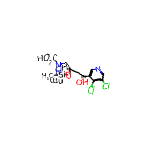 CC(C)(C)[Si](C)(C)O[C@@H](CNC(=O)O)C[C@@H](O)c1cncc(Cl)c1Cl